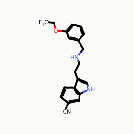 N#Cc1ccc2c(CCNCc3cccc(OCC(F)(F)F)c3)c[nH]c2c1